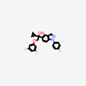 OC(COc1cc(F)cc(F)c1)(c1ccc2c(cnn2-c2ccc(F)cc2)c1)C1CC1